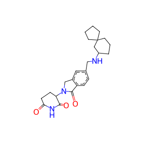 O=C1CCC(N2Cc3cc(CNC4CCCC5(CCCC5)C4)ccc3C2=O)C(=O)N1